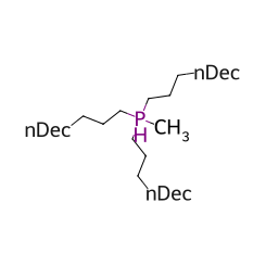 CCCCCCCCCCCCC[PH](C)(CCCCCCCCCCCCC)CCCCCCCCCCCCC